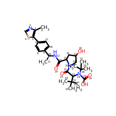 Cc1ncsc1-c1ccc([C@H](C)NC(=O)C2CC(O)CN2C(=O)C(N(C(=O)O)C(C)(C)C)C(C)(C)C)cc1